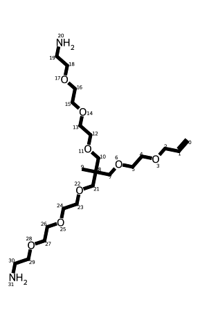 C=CCOCCOCC(C)(COCCOCCOCCN)COCCOCCOCCN